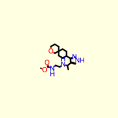 COC(=O)NCCNC(C)c1c[nH]nc1C1CCC2(CCCOC2)CC1